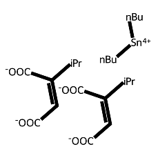 CC(C)/C(=C/C(=O)[O-])C(=O)[O-].CC(C)/C(=C/C(=O)[O-])C(=O)[O-].CCC[CH2][Sn+4][CH2]CCC